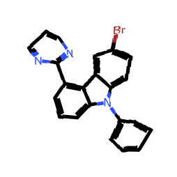 Brc1ccc2c(c1)c1c(-c3ncccn3)cccc1n2-c1ccccc1